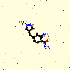 Cn1cc(Cc2ccc(C(N)=O)c(N)c2)cn1